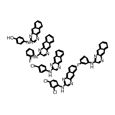 Clc1ccc(Nc2cnc3cc4ccccc4cc3n2)c(Cl)c1.Clc1ccc(Nc2cnc3cc4ccccc4cc3n2)cc1.Fc1cccc(Nc2cnc3cc4ccccc4cc3n2)c1.Fc1ccccc1Nc1cnc2cc3ccccc3cc2n1.Oc1ccc(Nc2cnc3cc4ccccc4cc3n2)cc1